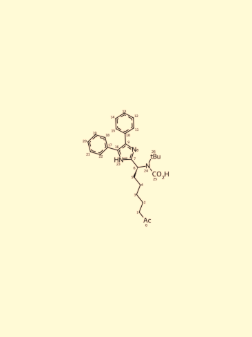 CC(=O)CCCCC[C@@H](c1nc(-c2ccccc2)c(-c2ccccc2)[nH]1)N(C(=O)O)C(C)(C)C